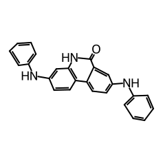 O=c1[nH]c2cc(Nc3ccccc3)ccc2c2ccc(Nc3ccccc3)cc12